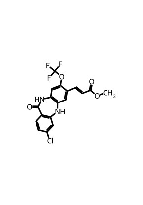 COC(=O)C=Cc1cc2c(cc1OC(F)(F)F)NC(=O)c1ccc(Cl)cc1N2